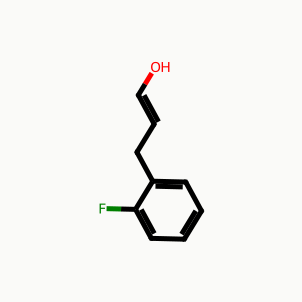 OC=CCc1ccccc1F